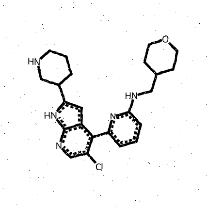 Clc1cnc2[nH]c(C3CCCNC3)cc2c1-c1cccc(NCC2CCOCC2)n1